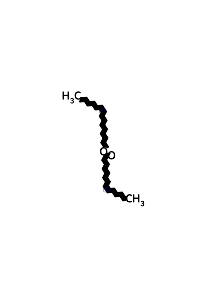 CCCCC/C=C\CCCCCCC(=O)OCCCCCCCC/C=C\CCCCCC